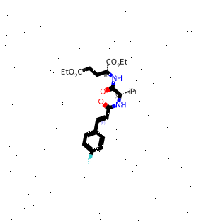 CCOC(=O)CC[C@@H](NC(=O)[C@@H](NC(=O)/C=C/c1ccc(F)cc1)C(C)C)C(=O)OCC